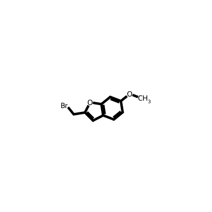 COc1ccc2cc(CBr)oc2c1